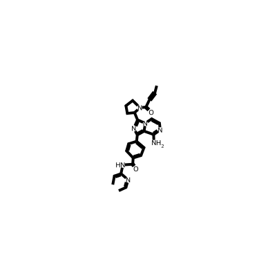 CC#CC(=O)N1CCCC1c1nc(-c2ccc(C(=O)NC(=C/C)/N=C\C)cc2)c2c(N)nccn12